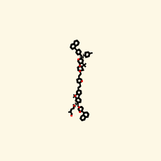 C=C/C(C)=C\C=C(/C)N(c1ccc(-c2cccc3ccccc23)cc1)c1ccc2c(c1)C(C)(C)c1cc(/C=C/c3ccc(/C=C/c4ccc5c(c4)C(C)(C)c4cc(N(c6ccc(C)cc6)c6ccc(-c7cccc8ccccc78)cc6)ccc4-5)cc3)ccc1-2